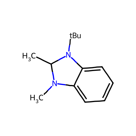 CC1N(C)c2ccccc2N1C(C)(C)C